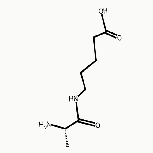 C[C@H](N)C(=O)NCCCCC(=O)O